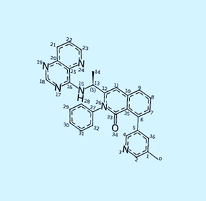 Cc1cncc(-c2cccc3cc([C@H](C)Nc4ncnc5cccnc45)n(-c4ccccc4)c(=O)c23)c1